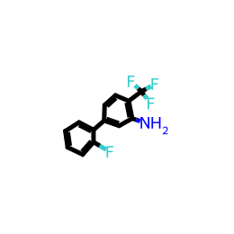 Nc1cc(-c2ccccc2F)ccc1C(F)(F)F